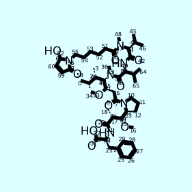 CC[C@H](C)[C@@H]([C@@H](CC(=O)N1CCC[C@H]1[C@H](OC)[C@@H](C)C(=O)N[C@@H](Cc1ccccc1)C(=O)O)OC)N(C)C(=O)[C@@H](NC(=O)[C@H](C(C)C)N(C)C(=O)CCCCCN1C(=O)C=CC1O)C(C)C